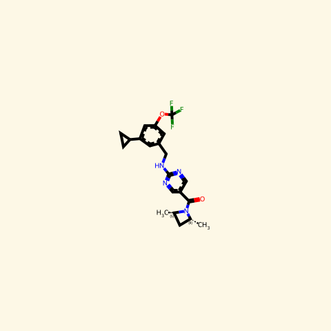 C[C@@H]1C[C@H](C)N1C(=O)c1cnc(NCc2cc(OC(F)(F)F)cc(C3CC3)c2)nc1